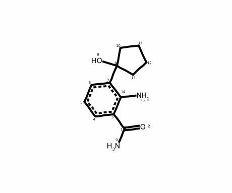 NC(=O)c1cccc(C2(O)CCCC2)c1N